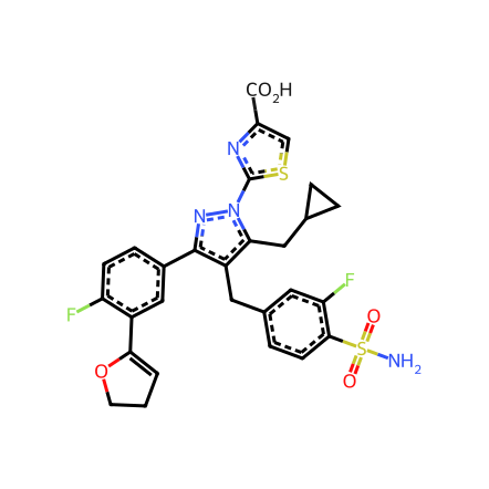 NS(=O)(=O)c1ccc(Cc2c(-c3ccc(F)c(C4=CCCO4)c3)nn(-c3nc(C(=O)O)cs3)c2CC2CC2)cc1F